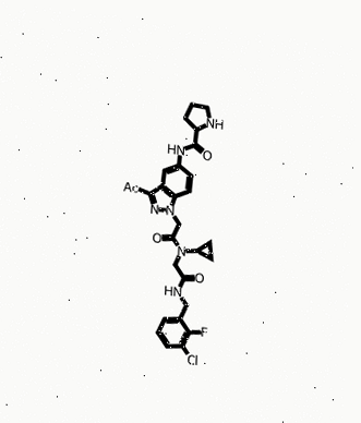 CC(=O)c1nn(CC(=O)N(CC(=O)NCc2cccc(Cl)c2F)C2CC2)c2ccc(NC(=O)C3CCCN3)cc12